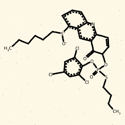 CCCCCC[S+]([O-])c1cccc2nc3c(cc12)C(=O)C(OP(=O)(Oc1c(Cl)cc(Cl)cc1Cl)SCCCC)C=C3